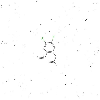 C=Cc1cc(F)c(F)cc1CC(=C)C